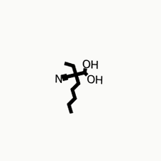 CCCCCC(C#N)(CC)C(O)O